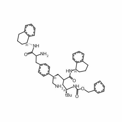 CC(C)(C)[C@@H](CC(C[C@@H](CN)c1ccc(CC(N)C(=O)N[C@@H]2CCCc3ccccc32)cc1)C(=O)N[C@@H]1CCCc2ccccc21)NC(=O)OCc1ccccc1